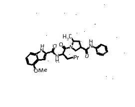 COc1cccc2[nH]c(C(=O)NC(CC(C)C)C(=O)N3CC(C(=O)Nc4ccccc4)CC3C)cc12